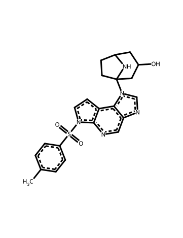 Cc1ccc(S(=O)(=O)n2ccc3c4c(cnc32)ncn4C23CCC(CC(O)C2)N3)cc1